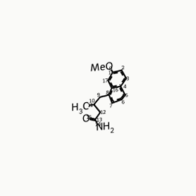 COc1ccc2cccc(CC(C)CC(N)=O)c2c1